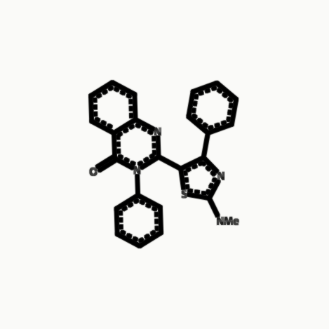 CNc1nc(-c2ccccc2)c(-c2nc3ccccc3c(=O)n2-c2ccccc2)s1